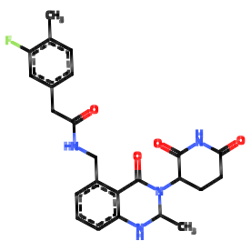 Cc1ccc(CC(=O)NCc2cccc3c2C(=O)N(C2CCC(=O)NC2=O)C(C)N3)cc1F